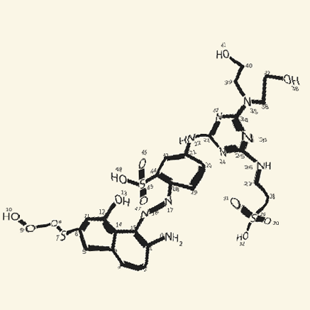 Nc1ccc2cc(SOOO)cc(O)c2c1N=Nc1ccc(Nc2nc(NCCS(=O)(=O)O)nc(N(CCO)CCO)n2)cc1S(=O)(=O)O